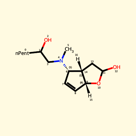 CCCCCC(O)CN(C)[C@H]1C=C[C@H]2OC(O)C[C@H]21